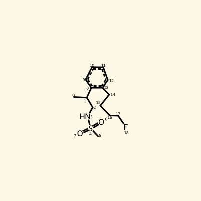 CC(CNS(C)(=O)=O)c1ccccc1CCCCF